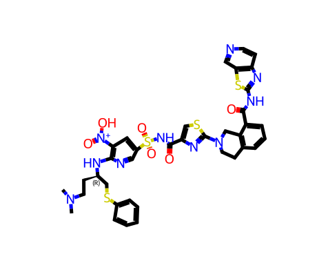 CN(C)CC[C@H](CSc1ccccc1)Nc1ncc(S(=O)(=O)NC(=O)c2csc(N3CCc4cccc(C(=O)Nc5nc6ccncc6s5)c4C3)n2)cc1[N+](=O)O